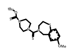 COc1ccc2c(c1)CN(C(=S)N1CCN(C(=S)OC(C)(C)C)CC1)CCS2